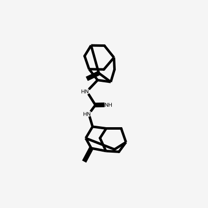 C=C1C2CC3CC(C2)C(NC(=N)NC2C4CC5CC(C4)C(=C)C2C5)C1C3